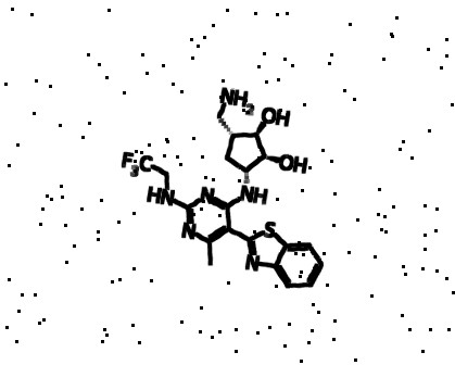 Cc1nc(NCC(F)(F)F)nc(N[C@@H]2C[C@H](CN)[C@@H](O)[C@H]2O)c1-c1nc2ccccc2s1